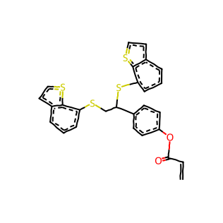 C=CC(=O)Oc1ccc(C(CSc2cccc3ccsc23)Sc2cccc3ccsc23)cc1